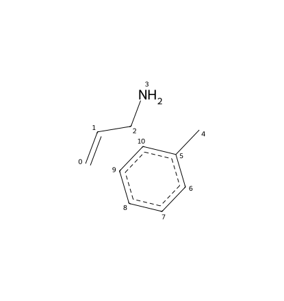 C=CCN.Cc1ccccc1